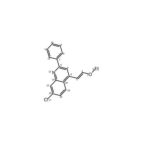 CCOC=Cc1cc(-c2ccccc2)nc2cc(Cl)ccc12